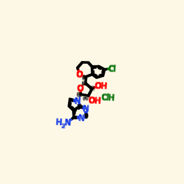 Cl.Nc1ncnc2c1ccn2[C@@H]1O[C@H]([C@@H]2OCCCc3cc(Cl)ccc32)[C@@H](O)[C@H]1O